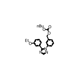 CCCCOC(=O)OCc1cccc(-n2ncnc2-c2cccc(OCC)c2)c1